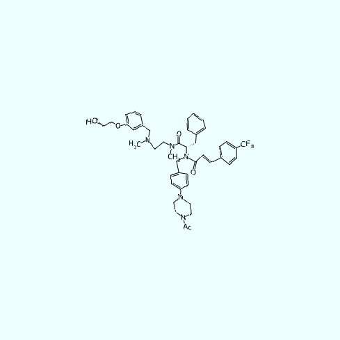 CC(=O)N1CCN(c2ccc(CN(C(=O)C=Cc3ccc(C(F)(F)F)cc3)[C@@H](Cc3ccccc3)C(=O)N(C)CCN(C)Cc3cccc(OCCO)c3)cc2)CC1